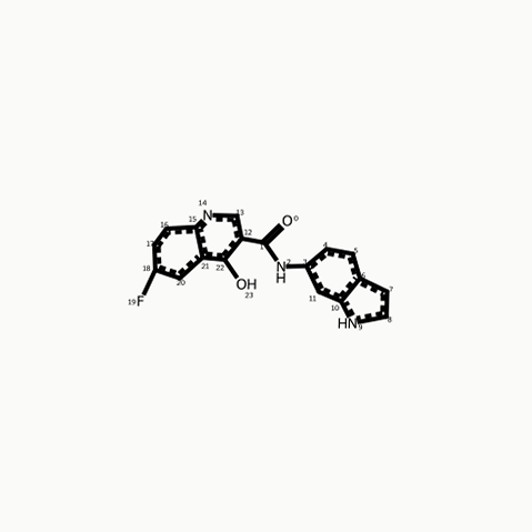 O=C(Nc1ccc2cc[nH]c2c1)c1cnc2ccc(F)cc2c1O